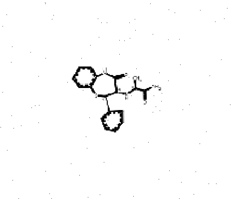 C[C@H](N[C@@H]1C(=O)Nc2ccccc2S[C@@H]1c1ccccc1)C(N)=O